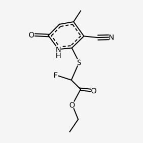 CCOC(=O)C(F)Sc1[nH]c(=O)cc(C)c1C#N